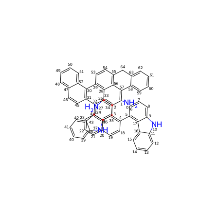 Nc1c(-c2c(-c3cccc4[nH]c5ccccc5c34)ccc3ccccc23)c(N)c2c(-c3c(-c4cccc5[nH]c6ccccc6c45)ccc4ccccc34)ccc3c2c1-c1ccccc1C3